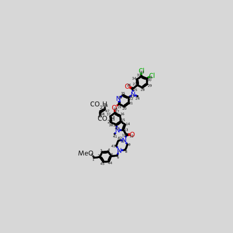 COCc1ccc(CN2CCN(C(=O)c3cc4cc(Oc5ccc(N(C)C(=O)c6ccc(Cl)c(Cl)c6)cn5)ccc4n3C)CC2)cc1.O=C(O)C=CC(=O)O